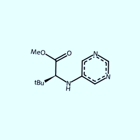 COC(=O)[C@@H](Nc1cncnc1)C(C)(C)C